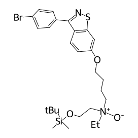 CC[N+]([O-])(CCCCOc1ccc2c(-c3ccc(Br)cc3)nsc2c1)CCO[Si](C)(C)C(C)(C)C